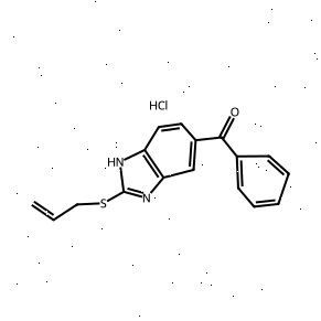 C=CCSc1nc2cc(C(=O)c3ccccc3)ccc2[nH]1.Cl